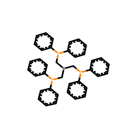 c1ccc(P(CB(CP(c2ccccc2)c2ccccc2)CP(c2ccccc2)c2ccccc2)c2ccccc2)cc1